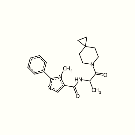 CC(NC(=O)c1cnc(-c2ccccc2)n1C)C(=O)N1CCC2(CC1)CC2